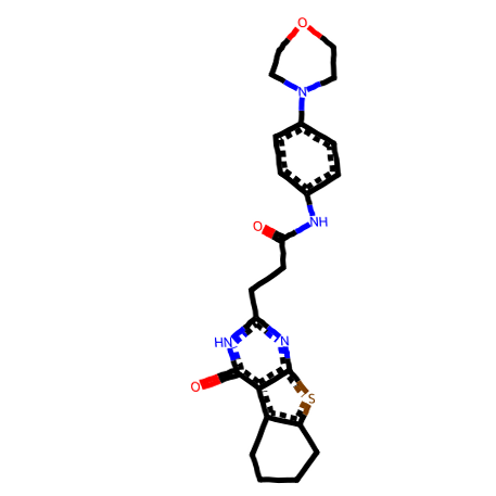 O=C(CCc1nc2sc3c(c2c(=O)[nH]1)CCCC3)Nc1ccc(N2CCOCC2)cc1